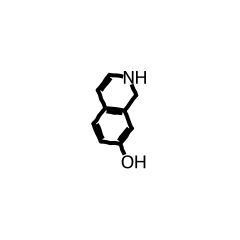 Oc1ccc2c(c1)CNC=C2